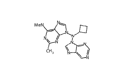 CNc1nc(C)nc2c1ncn2N(C1CCC1)n1cnc2cncnc21